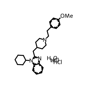 COc1ccc(CCN2CCC(Cc3nc4ccccc4n3C3CCCCC3)CC2)cc1.Cl.Cl.O